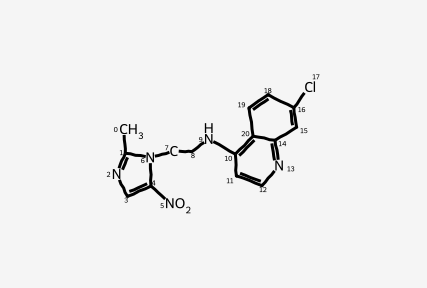 Cc1ncc([N+](=O)[O-])n1CCNc1ccnc2cc(Cl)ccc12